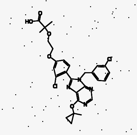 CC1(Oc2ncnc3c2nc(-c2ccc(OCCOC(C)(C)C(=O)O)cc2Cl)n3Cc2cccc(Cl)c2)CC1